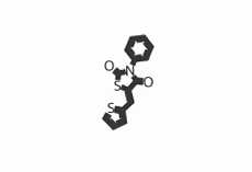 O=C1SC(=Cc2cccs2)C(=O)N1c1ccccc1